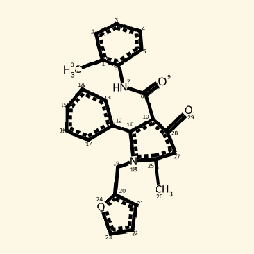 Cc1ccccc1NC(=O)c1c(-c2ccccc2)n(Cc2ccco2)c(C)cc1=O